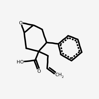 C=CCC1(C(=O)O)CC2OC2CC1c1ccccc1